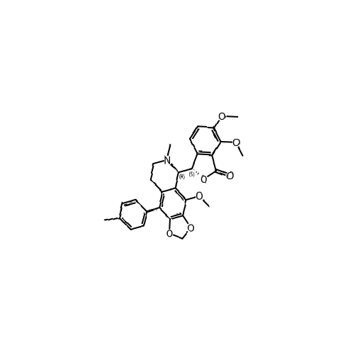 COc1ccc2c(c1OC)C(=O)O[C@@H]2[C@H]1c2c(c(-c3ccc(C)cc3)c3c(c2OC)OCO3)CCN1C